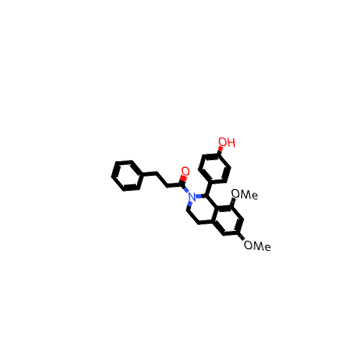 COc1cc2c(c(OC)c1)C(c1ccc(O)cc1)N(C(=O)CCc1ccccc1)CC2